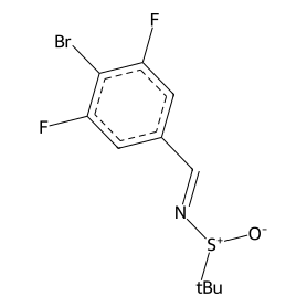 CC(C)(C)[S+]([O-])N=Cc1cc(F)c(Br)c(F)c1